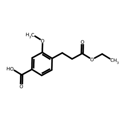 CCOC(=O)CCc1ccc(C(=O)O)cc1OC